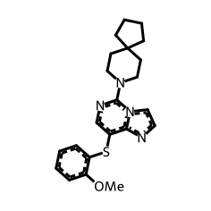 COc1ccccc1Sc1cnc(N2CCC3(CCCC3)CC2)n2ccnc12